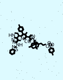 Cc1ccc(-c2c(C3CCNc4nnc(Nc5nc6ccccc6s5)c(C)c43)nc(C(=O)O)c(-c3cnn(CC45CC6(C)CC(C)(CC(CCCOS(=O)(=O)c7ccc(C)cc7)(C6)C4)C5)c3C)c2C)cc1